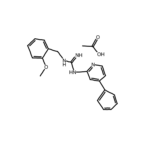 CC(=O)O.COc1ccccc1CNC(=N)Nc1cc(-c2ccccc2)ccn1